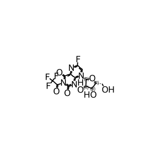 O=C(n1c(=O)nc2n([C@@H]3O[C@H](CO)[C@H](O)[C@H]3O)cc(F)nc-2c1=O)C(F)(F)F